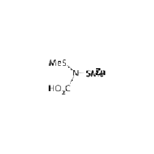 CSN(SC)C(=O)O.[Zn]